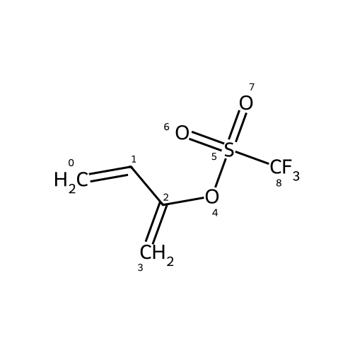 C=CC(=C)OS(=O)(=O)C(F)(F)F